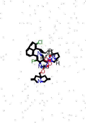 C=C1CN2CC(=C)CC2(COc2nc(N3C[C@H]4CC[C@@H](C3)N4C(=O)OC(C)(C)C)c3cnc(-c4cccc5ccc(Cl)c(C#C[Si](C(C)C)(C(C)C)C(C)C)c45)c(F)c3n2)C1